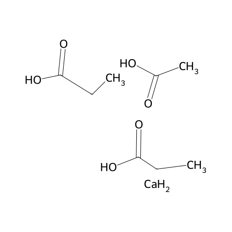 CC(=O)O.CCC(=O)O.CCC(=O)O.[CaH2]